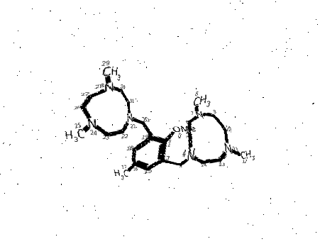 COc1c(CN2CCN(C)CCN(C)CC2)cc(C)cc1CN1CCN(C)CCN(C)CC1